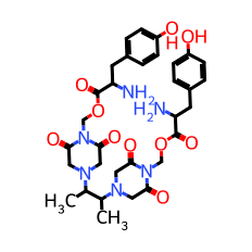 CC(C(C)N1CC(=O)N(COC(=O)C(N)Cc2ccc(O)cc2)C(=O)C1)N1CC(=O)N(COC(=O)C(N)Cc2ccc(O)cc2)C(=O)C1